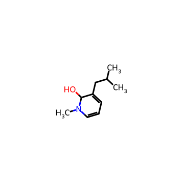 CC(C)CC1=CC=CN(C)C1O